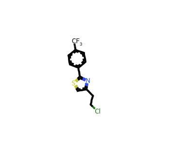 FC(F)(F)c1ccc(-c2nc(CCCl)cs2)cc1